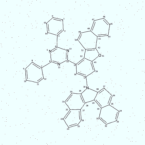 c1ccc(-c2nc(-c3ccccc3)nc(-c3cc(-n4c5ccc6ccccc6c5c5c6ccccc6ccc54)cc4oc5c6ccccc6ccc5c34)n2)cc1